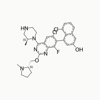 C[C@H]1CNCCN1c1nc(OC[C@@H]2CCCN2C)nc2c(F)c(-c3cc(O)cc4cccc(Cl)c34)c(Cl)cc12